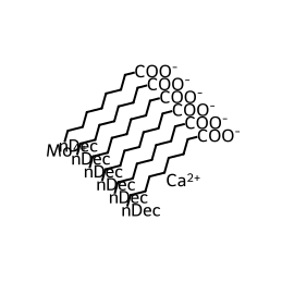 CCCCCCCCCCCCCCCCCC(=O)[O-].CCCCCCCCCCCCCCCCCC(=O)[O-].CCCCCCCCCCCCCCCCCC(=O)[O-].CCCCCCCCCCCCCCCCCC(=O)[O-].CCCCCCCCCCCCCCCCCC(=O)[O-].CCCCCCCCCCCCCCCCCC(=O)[O-].[Ca+2].[Mo+4]